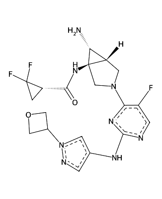 N[C@@H]1[C@@H]2CN(c3nc(Nc4cnn(C5COC5)c4)ncc3F)C[C@]12NC(=O)[C@@H]1CC1(F)F